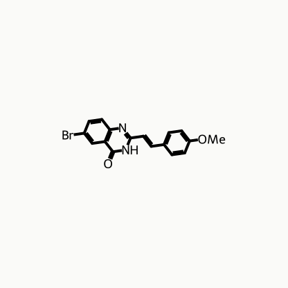 COc1ccc(C=Cc2nc3ccc(Br)cc3c(=O)[nH]2)cc1